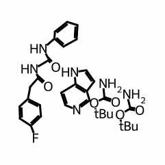 CC(C)(C)OC(N)=O.CC(C)(C)OC(N)=O.O=C(Cc1ccc(F)cc1)NC(=O)Nc1ccccc1.c1cc2[nH]ccc2cn1